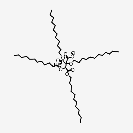 CCCCCCCCCCCCOC(=O)C(OCCCCCCCCCCCC)C(OCCCCCCCCCCCC)(C(=O)OCl)P(=O)(O)OCCCCCCCCCCCC